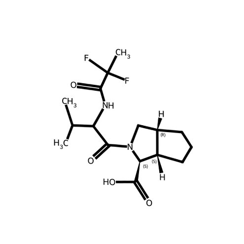 CC(C)C(NC(=O)C(C)(F)F)C(=O)N1C[C@@H]2CCC[C@@H]2[C@H]1C(=O)O